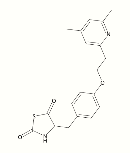 Cc1cc(C)nc(CCOc2ccc(CC3NC(=O)SC3=O)cc2)c1